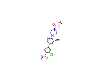 C#Cc1cc(-c2ccc(C(=O)N(C)C)c(Cl)c2)cnc1N1CCN(C(=O)OC(C)(C)C)CC1